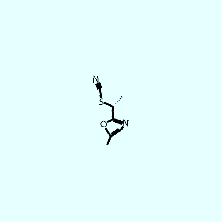 Cc1cnc([C@@H](C)SC#N)o1